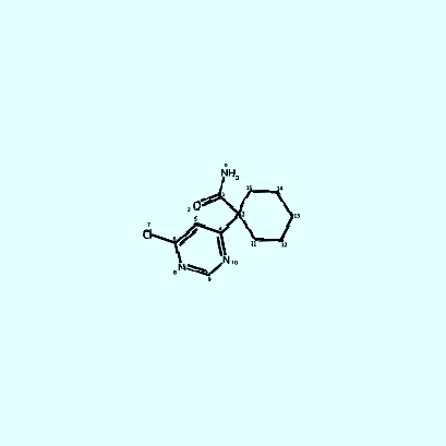 NC(=O)C1(c2cc(Cl)ncn2)CCCCC1